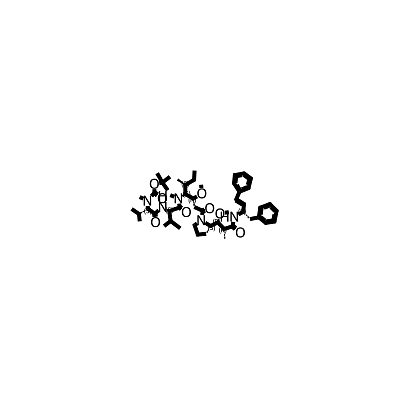 CC[C@H](C)[C@@H]([C@@H](CC(=O)N1CCC[C@H]1[C@H](OC)[C@@H](C)C(=O)N[C@H](C=Cc1ccccc1)Cc1ccccc1)OC)N(C)C(=O)[C@@H](NC(=O)[C@H](C(C)C)N(C)C(=O)OC(C)(C)C)C(C)C